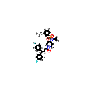 O=C(CCC(c1ccc(F)cc1)c1ccc(F)cc1)N1CCC(N(C2CC2)S(=O)(=O)c2cccc(C(F)(F)F)c2)CC1